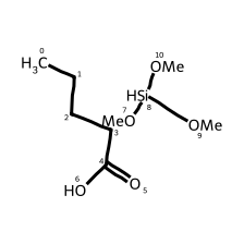 CCCCC(=O)O.CO[SiH](OC)OC